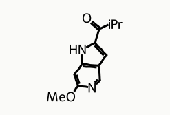 COc1cc2[nH]c(C(=O)C(C)C)cc2cn1